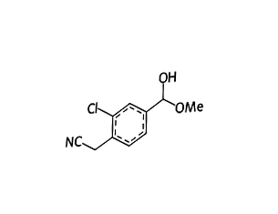 COC(O)c1ccc(CC#N)c(Cl)c1